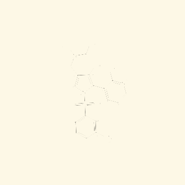 CC(C)(C)CN(Cc1cn(S(=O)(=O)c2cccc(C#N)c2)c(-c2cccnc2F)c1F)C(=O)O